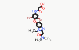 CCn1c(CC(=O)N(C)C)nc2ccc(Oc3c(Br)cc(NC(=O)CC(=O)O)cc3Br)cc21